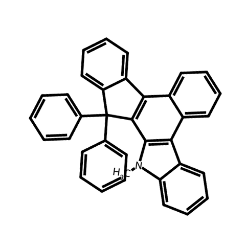 Cn1c2ccccc2c2c3ccccc3c3c(c21)C(c1ccccc1)(c1ccccc1)c1ccccc1-3